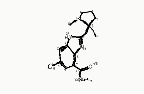 CN1CCC[C@]1(C)c1nc2c(C(N)=O)cc(Cl)cc2[nH]1